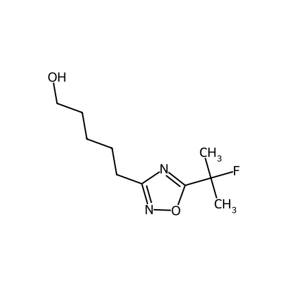 CC(C)(F)c1nc(CCCCCO)no1